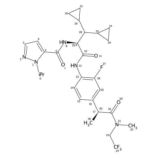 CC(C)n1nccc1C(=O)N[C@H](C(=O)Nc1ccc([C@H](C)C(=O)N(C)CC(F)(F)F)cc1F)C(C1CC1)C1CC1